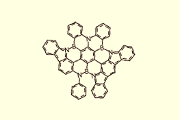 c1ccc(N2B3c4c5c6c7c8c4-c4c9c(cc%10c%11ccccc%11n3c4%10)c3ccccc3n9B8c3ccccc3N7c3ccccc3B6n3c4ccccc4c4ccc2c-5c43)cc1